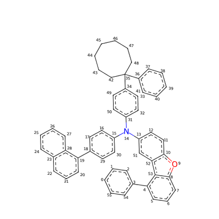 c1ccc(-c2cccc3oc4ccc(N(c5ccc(-c6cccc7ccccc67)cc5)c5ccc(C6(c7ccccc7)CCCCCCC6)cc5)cc4c23)cc1